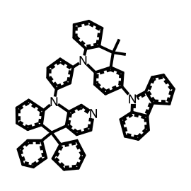 CC1(C)c2ccccc2N(c2cccc(N3c4ccccc4C(c4ccccc4)(c4ccccc4)c4ccncc43)c2)c2ccc(-n3c4ccccc4c4ccccc43)cc21